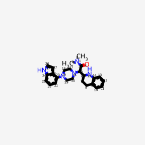 CN(C)C(=O)C(C1CCc2ccccc2N1)N1CCN(c2cccc3[nH]ccc23)CC1